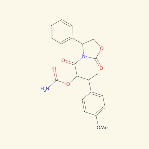 COc1ccc(C(C)C(OC(N)=O)C(=O)N2C(=O)OCC2c2ccccc2)cc1